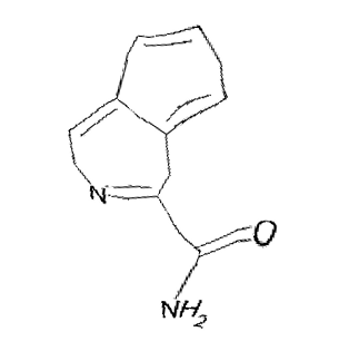 NC(=O)C1=NC=C2C=CC=C21